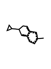 Cc1ccc2c(c1)=CCC(C1CC1)C=2